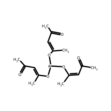 CC(=O)C=C(C)[O][Al]([O]C(C)=CC(C)=O)[O]C(C)=CC(C)=O